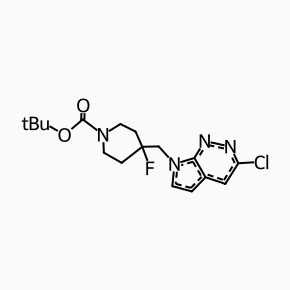 CC(C)(C)OC(=O)N1CCC(F)(Cn2ccc3cc(Cl)nnc32)CC1